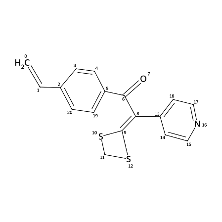 C=Cc1ccc(C(=O)C(=C2SCS2)c2ccncc2)cc1